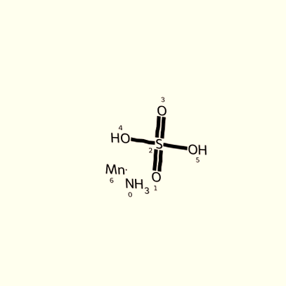 N.O=S(=O)(O)O.[Mn]